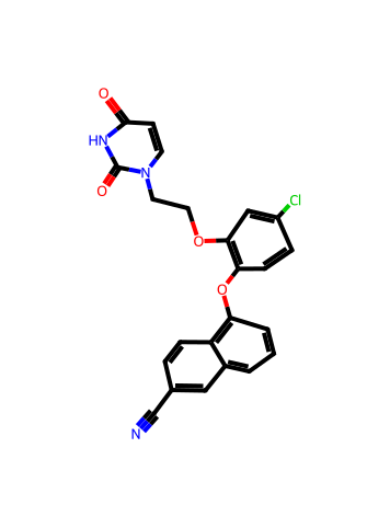 N#Cc1ccc2c(Oc3ccc(Cl)cc3OCCn3ccc(=O)[nH]c3=O)cccc2c1